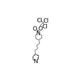 O=C(OCC(Cl)(Cl)Cl)N1CCC(CCCCc2ccncc2)CC1